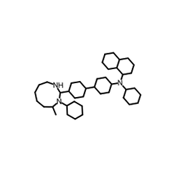 CC1CCCCCNC(C2CCC(C3CCC(N(C4CCCCC4)C4CCCC5CCCCC54)CC3)CC2)N1C1CCCCC1